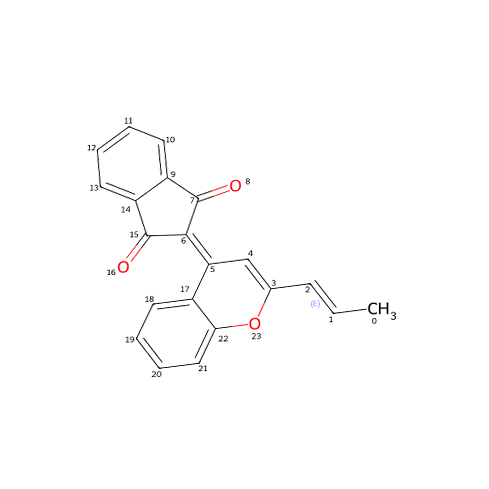 C/C=C/C1=CC(=C2C(=O)c3ccccc3C2=O)c2ccccc2O1